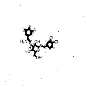 N/C(=C\NC1C(O)C(CO)OC(SCc2ccc(Cl)c(Cl)c2)C1O)c1cc(F)c(F)c(F)c1